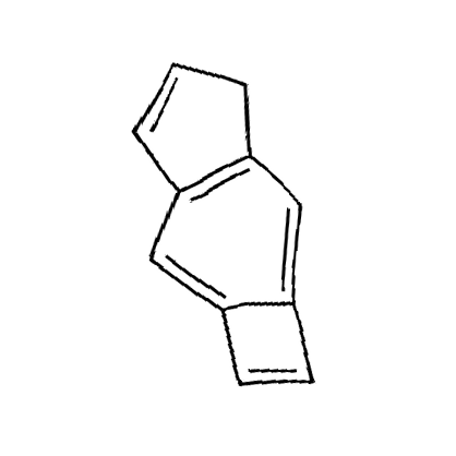 C1=Cc2cc3c(cc2C1)C=C3